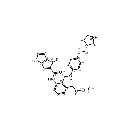 CCOCc1cccc(NC(=O)c2cc3sccc3n2C)c1COc1ccc(OC[C@@H]2CCNC2)cc1.Cl